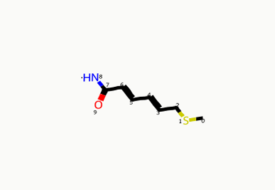 CSCC=CC=CC([NH])=O